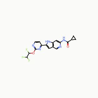 O=C(Nc1cc2[nH]c(-c3ccnc(OC(F)C(F)F)n3)cc2cn1)C1CC1